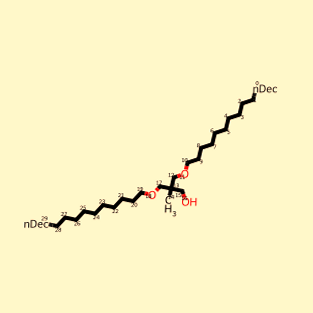 CCCCCCCCCCCCCCCCCCCCOCC(C)(CO)COCCCCCCCCCCCCCCCCCCCC